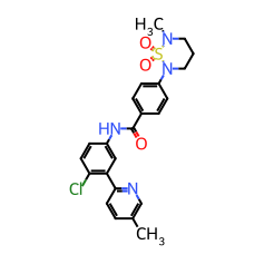 Cc1ccc(-c2cc(NC(=O)c3ccc(N4CCCN(C)S4(=O)=O)cc3)ccc2Cl)nc1